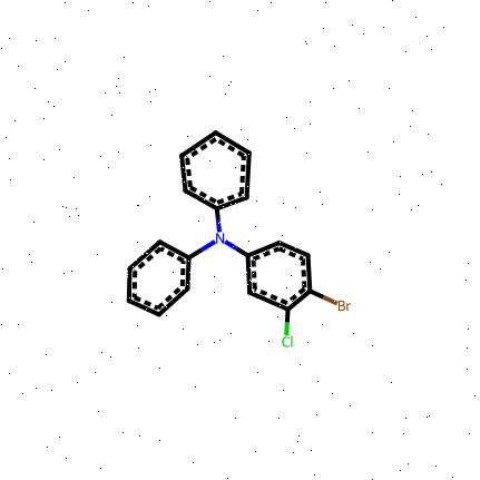 Clc1cc(N(c2ccccc2)c2ccccc2)ccc1Br